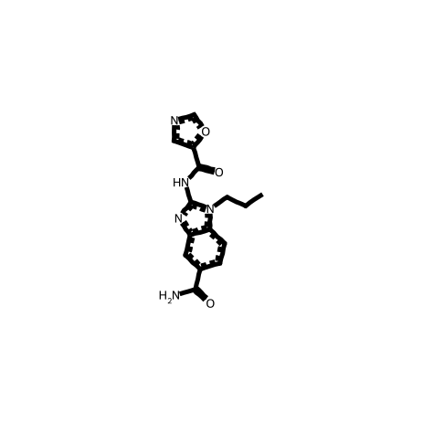 CCCn1c(NC(=O)c2cnco2)nc2cc(C(N)=O)ccc21